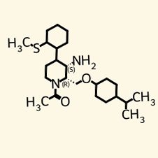 CSC1CCCCC1C1CCN(C(C)=O)[C@@H](COC2CCC(C(C)C)CC2)[C@H]1N